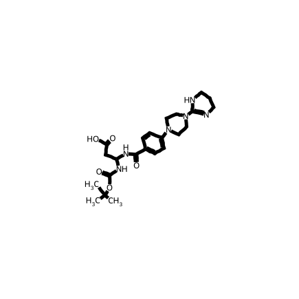 CC(C)(C)OC(=O)NC(CC(=O)O)NC(=O)c1ccc(N2CCN(C3=NCCCN3)CC2)cc1